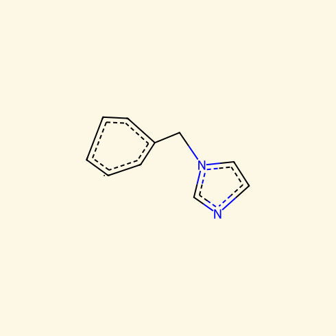 [c]1cccc(Cn2ccnc2)c1